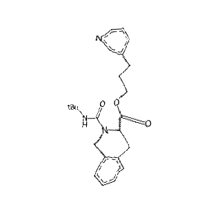 CC(C)(C)NC(=O)N1Cc2ccccc2CC1C(=O)OCCCc1cccnc1